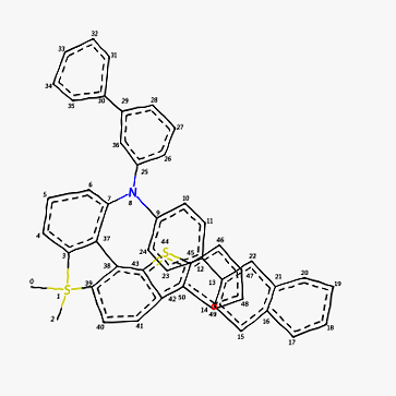 CS1(C)c2cccc(N(c3ccc(-c4ccc5ccccc5c4)cc3)c3cccc(-c4ccccc4)c3)c2-c2c1ccc1c2sc2ccccc21